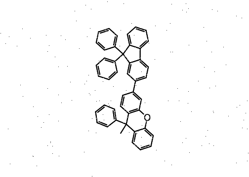 CC1(c2ccccc2)c2ccccc2Oc2cc(-c3ccc4c(c3)C(c3ccccc3)(c3ccccc3)c3ccccc3-4)ccc21